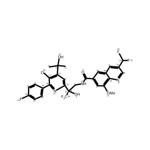 COc1cc(C(=O)NC[C@](O)(c2cc(C(C)(C)O)c(Cl)c(-c3ccc(F)cc3)n2)C(F)(F)F)cc2cc(C(F)F)cnc12